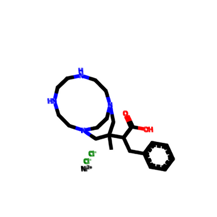 CC1(C(Cc2ccccc2)C(=O)O)CN2CCNCCNCCN(CC2)C1.[Cl-].[Cl-].[Ni+2]